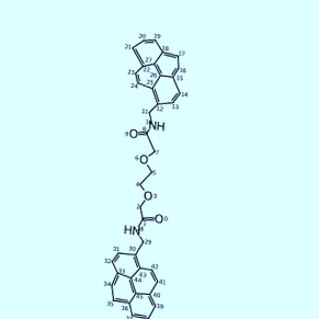 O=C(COCCOCC(=O)NCc1ccc2ccc3cccc4ccc1c2c34)NCc1ccc2ccc3cccc4ccc1c2c34